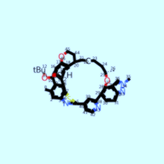 Cc1cc2nc3sc2c(c1C(OC(C)(C)C)C(=O)O)-c1ccc2c(c1)C(CCCC[C@H](C)Oc1c(ccc4nn(C)cc14)-c1cc-3ccn1)CCO2